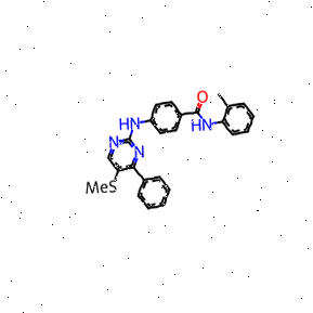 CSc1cnc(Nc2ccc(C(=O)Nc3ccccc3C)cc2)nc1-c1ccccc1